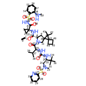 C=C[C@@H]1C[C@]1(NC(=O)[C@@H]1C[C@@]2(CN1C(=O)C(NC(=O)N[C@H](CN(C)S(=O)(=O)c1ccccn1)C(C)(C)C)C(C)C)C(C)(C)C21CCC1)C(=O)NS(=O)(=O)c1ccccc1NC